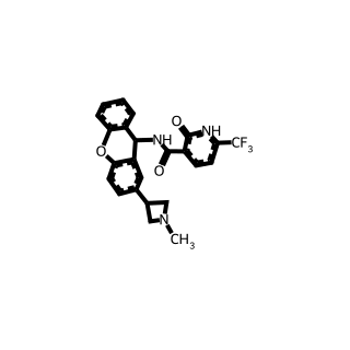 CN1CC(c2ccc3c(c2)C(NC(=O)c2ccc(C(F)(F)F)[nH]c2=O)c2ccccc2O3)C1